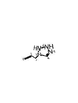 C=CCN1C=NNN1